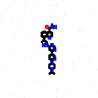 CNC(=O)c1ccnc2c([C@H](C)CNc3cc(-c4ccc(N5CCN(C(C)C)CC5)nc4)ncn3)cccc12